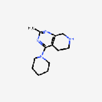 Cc1nc2c(c(N3CCCCC3)n1)CCNC2